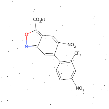 CCOC(=O)c1onc2cc(-c3ccc([N+](=O)[O-])cc3C(F)(F)F)c([N+](=O)[O-])cc12